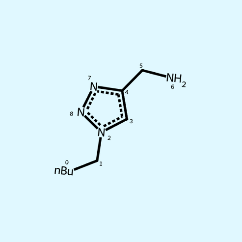 [CH2]CCCCn1cc(CN)nn1